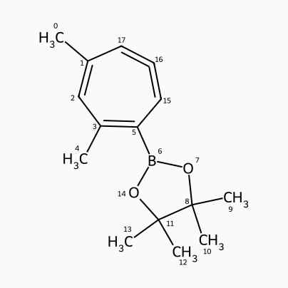 CC1=CC(C)=C(B2OC(C)(C)C(C)(C)O2)C=C=C1